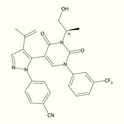 C=C(C)c1cnn(-c2ccc(C#N)cc2)c1-c1cn(-c2cccc(C(F)(F)F)c2)c(=O)n([C@H](C)CO)c1=O